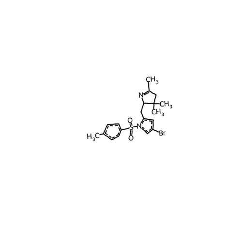 CC1=NC(Cc2cc(Br)cn2S(=O)(=O)c2ccc(C)cc2)C(C)(C)C1